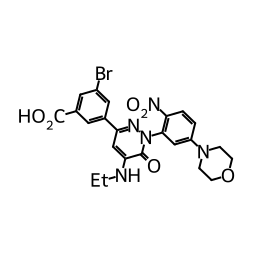 CCNc1cc(-c2cc(Br)cc(C(=O)O)c2)nn(-c2cc(N3CCOCC3)ccc2[N+](=O)[O-])c1=O